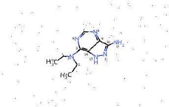 CCN(CC)c1ncnc2c(N)n[nH]c12